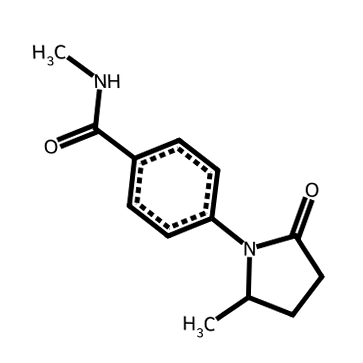 CNC(=O)c1ccc(N2C(=O)CCC2C)cc1